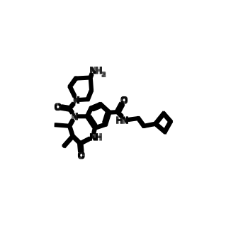 CC1C(=O)Nc2cc(C(=O)NCCC3CCC3)ccc2N(C(=O)N2CCC(N)CC2)C1C